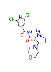 O=C(NC(=O)[C@@H]1NCCC1N1CCOCC1)c1cc(Cl)nc(Cl)c1